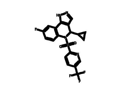 O=S(=O)(c1ccc(C(F)(F)F)cn1)N1c2ccc(F)cc2-c2[nH]ncc2C1C1CC1